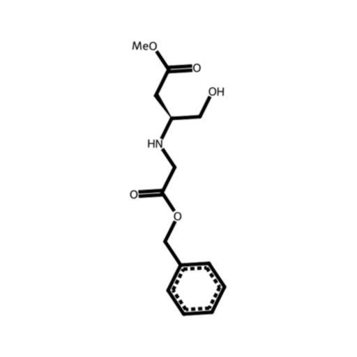 COC(=O)C[C@@H](CO)NCC(=O)OCc1ccccc1